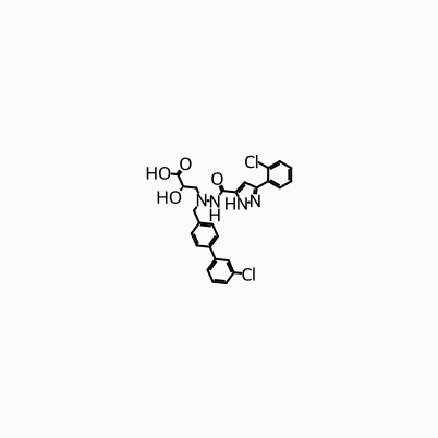 O=C(NN(Cc1ccc(-c2cccc(Cl)c2)cc1)C[C@@H](O)C(=O)O)c1cc(-c2ccccc2Cl)n[nH]1